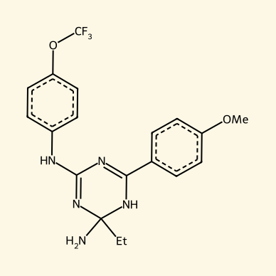 CCC1(N)N=C(Nc2ccc(OC(F)(F)F)cc2)N=C(c2ccc(OC)cc2)N1